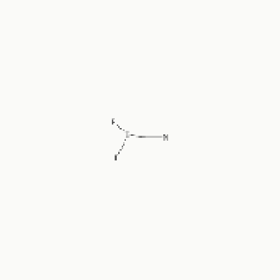 N#CB(F)F